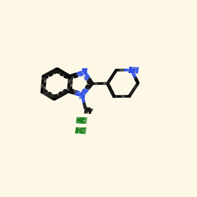 CC(C)n1c(C2CCCNC2)nc2ccccc21.Cl.Cl